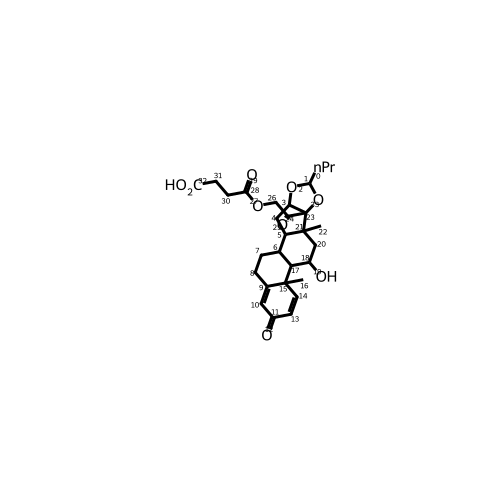 CCCC1OC2CC3C4CCC5=CC(=O)C=CC5(C)C4C(O)CC3(C)C2(C(=O)COC(=O)CCC(=O)O)O1